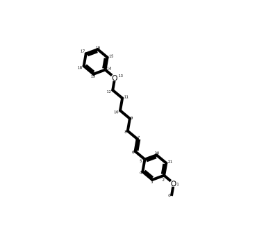 COc1ccc(/C=C/CCCCCOc2ccccc2)cc1